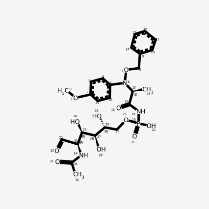 COc1ccc(N(OCc2ccccc2)[C@@H](C)C(=O)NP(=O)(O)OC[C@@H](O)[C@@H](O)[C@H](O)[C@H](C=O)NC(C)=O)cc1